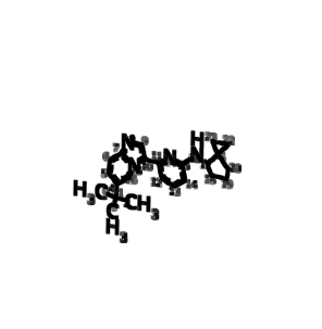 CC(C)(C)c1ccc2ncc(-c3cccc(N[C@H]4CCCC45CC5)n3)n2c1